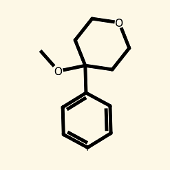 COC1(c2cc[c]cc2)CCOCC1